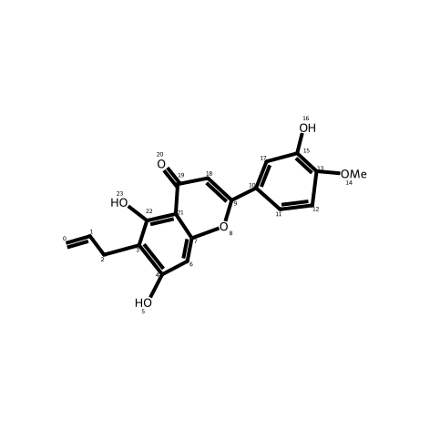 C=CCc1c(O)cc2oc(-c3ccc(OC)c(O)c3)cc(=O)c2c1O